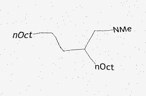 CCCCCCCCCCC(CCCCCCCC)CNC